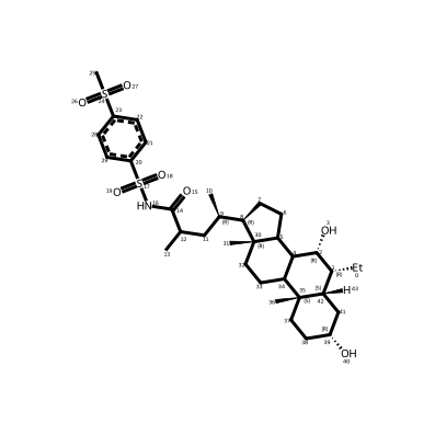 CC[C@H]1[C@@H](O)C2C3CC[C@H]([C@H](C)CC(C)C(=O)NS(=O)(=O)c4ccc(S(C)(=O)=O)cc4)[C@@]3(C)CCC2[C@@]2(C)CC[C@@H](O)C[C@@H]12